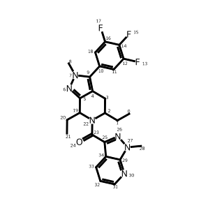 CCC1Cc2c(nn(C)c2-c2cc(F)c(F)c(F)c2)C(CC)N1C(=O)c1nn(C)c2ncccc12